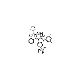 Cc1cc(C)cc(N2C(=O)/C(=C(/c3ccccc3)N(N)C(=O)C3CCCC3)c3ccc(C(F)(F)F)cc32)c1